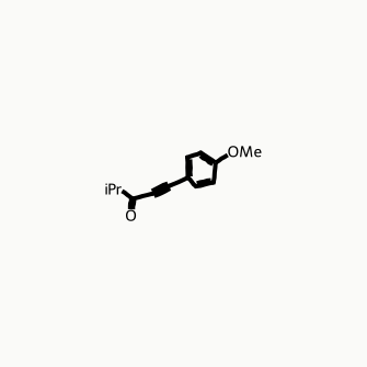 COc1ccc(C#CC(=O)C(C)C)cc1